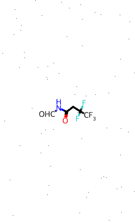 O=CNC(=O)CC(F)(F)C(F)(F)F